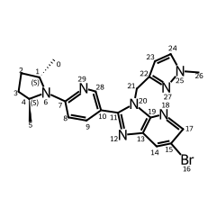 C[C@H]1CC[C@H](C)N1c1ccc(-c2nc3cc(Br)cnc3n2Cc2ccn(C)n2)cn1